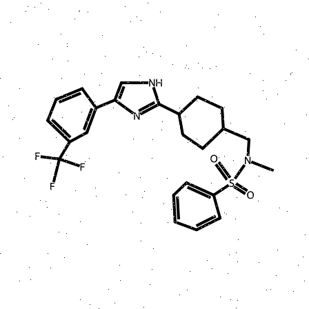 CN(CC1CCC(c2nc(-c3cccc(C(F)(F)F)c3)c[nH]2)CC1)S(=O)(=O)c1ccccc1